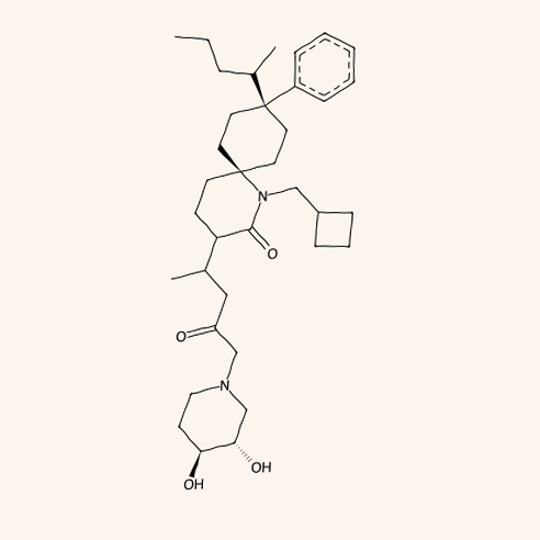 CCCC(C)[C@]1(c2ccccc2)CC[C@@]2(CCC(C(C)CC(=O)CN3CC[C@H](O)[C@@H](O)C3)C(=O)N2CC2CCC2)CC1